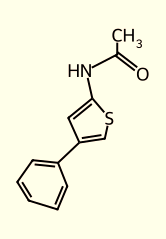 CC(=O)Nc1cc(-c2ccccc2)cs1